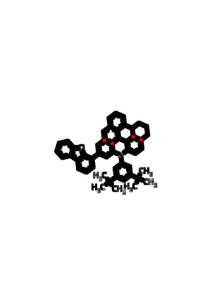 CC(C)(C)c1cc(N(c2cccc(-c3cccc4c3oc3ccccc34)c2)c2ccccc2-c2cccc3cccc(C4CCCCC4)c23)cc(C(C)(C)C)c1